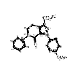 CCOC(=O)c1nn(-c2ccc(OC)cc2)c2c1CCN(c1ccccc1)C2=O